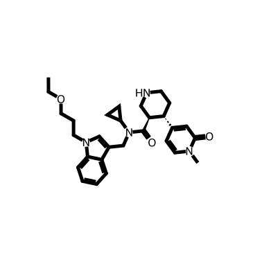 CCOCCCn1cc(CN(C(=O)[C@H]2CNCC[C@@H]2c2ccn(C)c(=O)c2)C2CC2)c2ccccc21